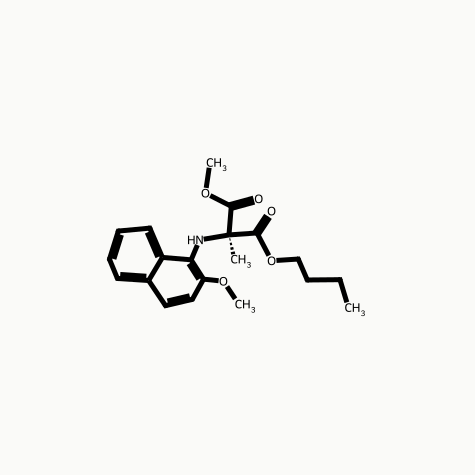 CCCCOC(=O)[C@@](C)(Nc1c(OC)ccc2ccccc12)C(=O)OC